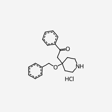 Cl.O=C(CC1(OCc2ccccc2)CCNCC1)c1ccccc1